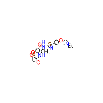 CCN1CCC(Oc2ccc(-c3ncc(CNC(=O)c4ccc5c(c4C)NCC4=C(C=CCC4=O)S5(=O)=O)s3)cc2)CC1